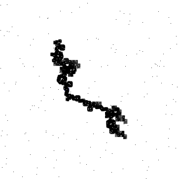 Cc1c(CC(=O)N(C)C)ccc(NC(=O)c2nn([C@@H]3CCCN(C(=O)/C=C/CN(C)CCOCCOCC(=O)NCCCCn4nc(-c5ccc6oc(N)nc6c5)c5c(N)ncnc54)C3)c3ncnc(N)c23)c1C